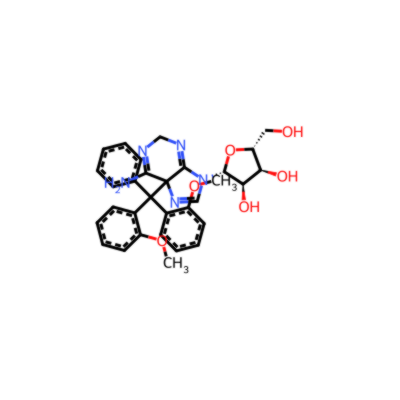 COc1ccccc1C(c1ccccc1)(c1ccccc1OC)C12N=CN([C@@H]3O[C@H](CO)[C@@H](O)[C@H]3O)C1=NCN=C2N